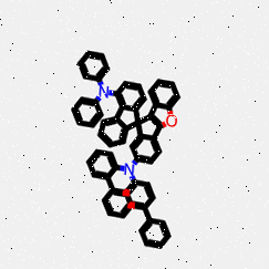 c1ccc(-c2ccc(N(c3ccc4c(c3)C3(c5ccccc5-c5c(N(c6ccccc6)c6ccccc6)cccc53)c3c-4oc4ccccc34)c3ccccc3-c3ccccc3)cc2)cc1